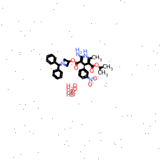 Br.Br.CC1=C(C(=O)OC(C)C)[C@@H](c2cccc([N+](=O)[O-])c2)C(C(=O)OC2CN(C(c3ccccc3)c3ccccc3)C2)=C(N)N1.O.O